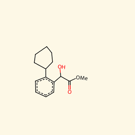 COC(=O)C(O)c1ccccc1C1CCCCC1